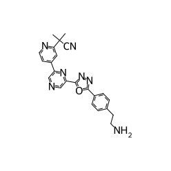 CC(C)(C#N)c1cc(-c2cncc(-c3nnc(-c4ccc(CCN)cc4)o3)n2)ccn1